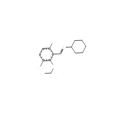 CC[C@@H](Oc1c(C(C)(C)C)ccc(C)c1/C=N/C1CCCCC1)C(C)C